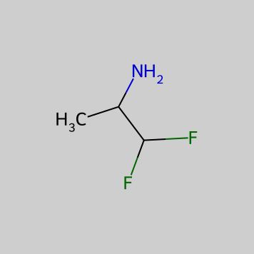 CC(N)C(F)F